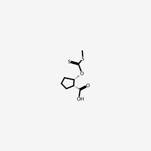 CSC(=S)O[C@H]1CCC[C@H]1C(=O)O